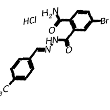 Cc1ccc(C=NNC(=O)c2cc(Br)ccc2C(N)=O)cc1.Cl